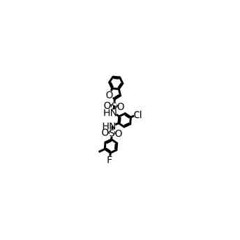 Cc1cc(S(=O)(=O)Nc2ccc(Cl)cc2NS(=O)(=O)c2cc3ccccc3o2)ccc1F